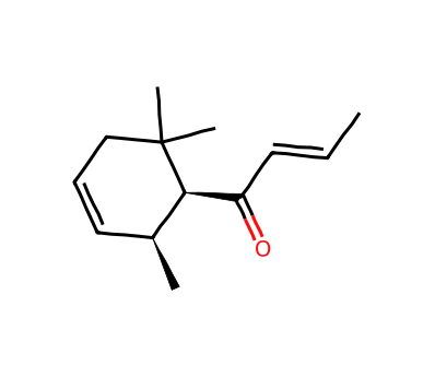 CC=CC(=O)[C@H]1[C@@H](C)C=CCC1(C)C